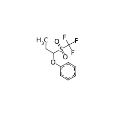 CCC(Oc1ccccc1)S(=O)(=O)C(F)(F)F